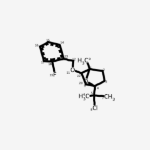 CC12CCC(C(C)(C)Cl)(CC1OCc1ccccc1F)O2